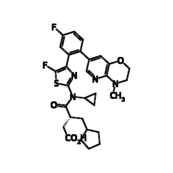 CN1CCOc2cc(-c3ccc(F)cc3-c3nc(N(C(=O)[C@@H](CC(=O)O)CC4CCCC4)C4CC4)sc3F)cnc21